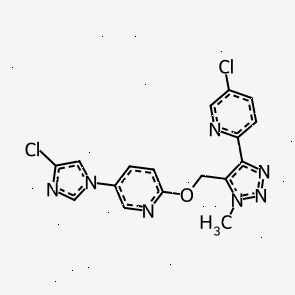 Cn1nnc(-c2ccc(Cl)cn2)c1COc1ccc(-n2cnc(Cl)c2)cn1